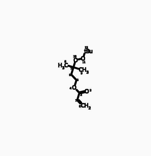 C=CC(=O)OCCC(C)(C)OOC(C)(C)C